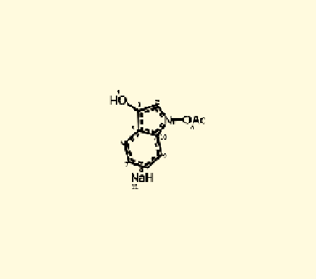 CC(=O)On1cc(O)c2ccccc21.[NaH]